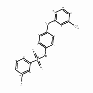 O=S(=O)(Nc1ccc(Oc2cc(C(F)(F)F)ccn2)cc1)c1cccc(Cl)c1